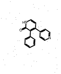 O=c1[nH]ccc(-c2ccncc2)c1-c1ccccc1